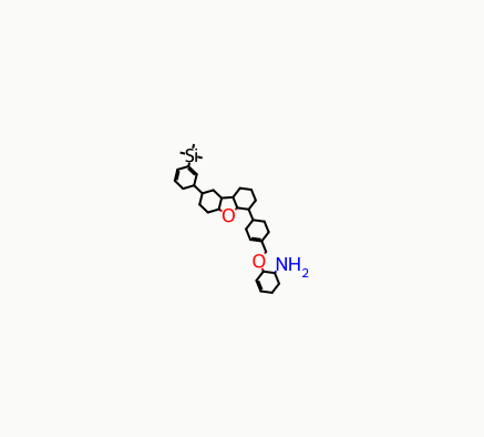 C[Si](C)(C)C1=CC(C2CCC3OC4C(C5CC=C(COC6C=CCCC6N)CC5)CCCC4C3C2)CC=C1